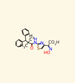 CC(C)(C(=O)Nc1nc(/C(=N\O)C(=O)O)cs1)C(c1ccccc1)c1ccccc1